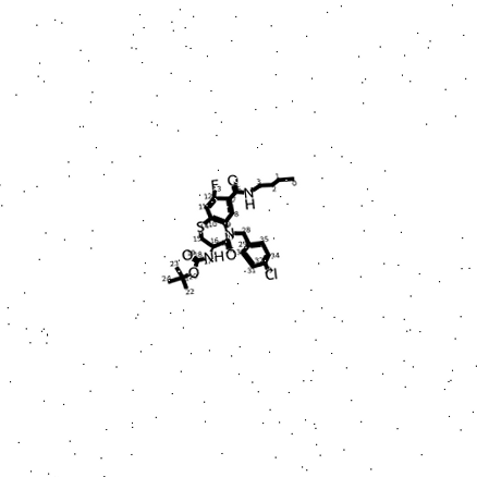 CCCCNC(=O)c1cc2c(cc1F)SC[C@H](NC(=O)OC(C)(C)C)C(=O)N2Cc1ccc(Cl)cc1